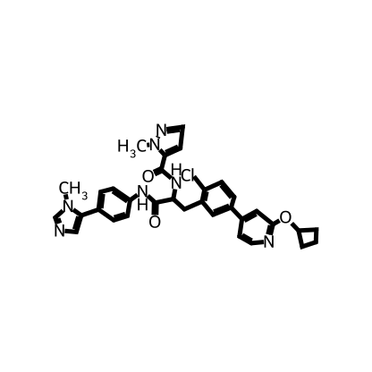 Cn1cncc1-c1ccc(NC(=O)C(Cc2cc(-c3ccnc(OC4CCC4)c3)ccc2Cl)NC(=O)c2ccnn2C)cc1